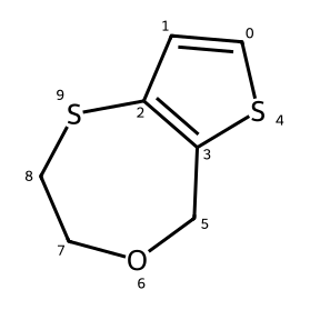 c1cc2c(s1)COCCS2